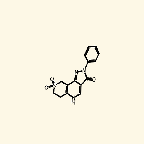 O=c1c2c[nH]c3c(c-2nn1-c1ccccc1)CS(=O)(=O)CC3